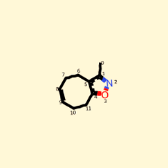 Cc1noc2c1CC/C=C\CC2